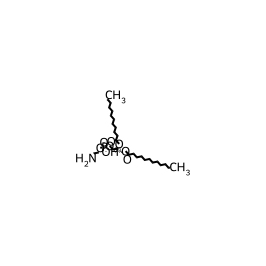 CCCCCCCCCCCC(=O)OC[C@H](COP(=O)(O)OCCN)OC(=O)CCCCCCCCCCC